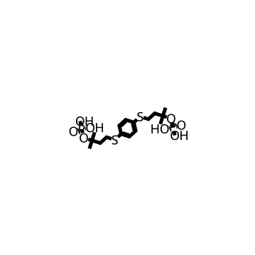 CC(C)(CCSc1ccc(SCCC(C)(C)OP(=O)(O)O)cc1)OP(=O)(O)O